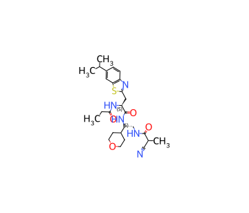 CCC(=O)N[C@@H](Cc1nc2ccc(C(C)C)cc2s1)C(=O)N[C@H](CNC(=O)C(C)C#N)C1CCOCC1